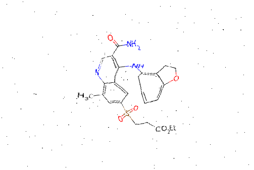 CCOC(=O)CCS(=O)(=O)c1cc(C)c2ncc(C(N)=O)c(Nc3cccc4c3CCO4)c2c1